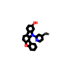 CC(C)(C)c1ccnc(-n2c3cc(O)ccc3c3ccc4oc5ccccc5c4c32)c1